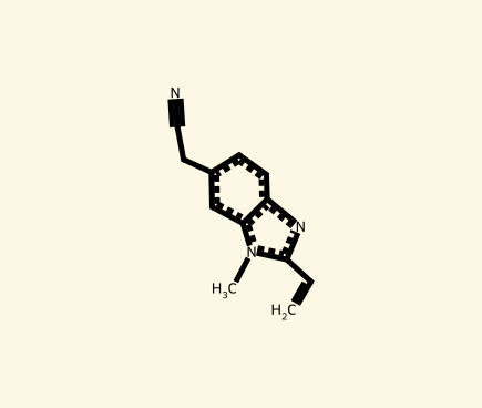 C=Cc1nc2ccc(CC#N)cc2n1C